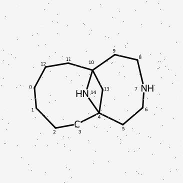 C1CCCC23CCNCCC(CC1)(C2)N3